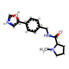 CN1CCCC1C(=O)NCc1ccc(-c2cnco2)cc1